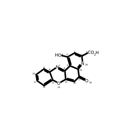 O=C(O)c1cc(O)c2c3nc4ccccc4oc-3cc(=O)c2n1